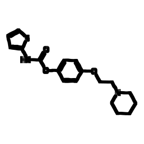 O=C(Nc1cccs1)Oc1ccc(OCCN2CCCCC2)cc1